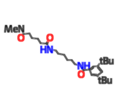 CNC(=O)CCCCC(=O)NCCCCCCNC(=O)c1cc(C(C)(C)C)cc(C(C)(C)C)c1